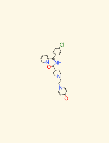 O=C(N[C@H](c1ccc(Cl)cc1)c1ccccn1)C1CCN(CCn2ccc(=O)cc2)CC1